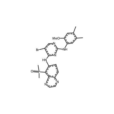 COc1cc(C)c(C)cc1Nc1ncc(Br)c(Nc2ccc3nccnc3c2P(C)(C)=O)n1